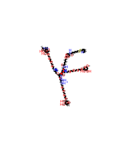 CO[C@@H]1C[C@@H](O)[C@@H](O)[C@@](C)(COCCOCCOCCOCCn2cc(COCC(COC/C(N)=C/NCCOCCOCCOCCOC[C@]34CO[C@H](C[C@@H](O)[C@H]3O)O4)(COCc3cn(CCOCCOCCOCCOC[C@@]45CO[C@@H](O4)[C@H](NC(C)=O)[C@@H](O)[C@H]5O)nn3)NC(=O)CCCCCNC(=O)CCCCCOC3OCC(NC(=O)CCCCCSSc4ccccn4)CO3)nn2)O1